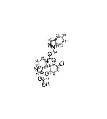 O=C(O)COc1ccc(Cl)cc1C1c2scnc2CCN1C(=O)OCn1ncc2ccccc21